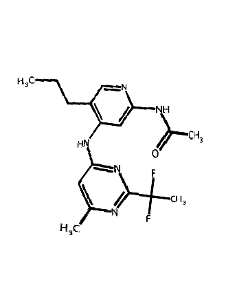 CCCc1cnc(NC(C)=O)cc1Nc1cc(C)nc(C(C)(F)F)n1